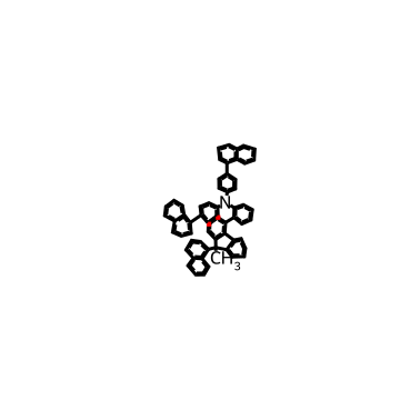 CC1(c2cccc3ccccc23)c2ccccc2-c2c(-c3ccccc3N(c3ccc(-c4cccc5ccccc45)cc3)c3ccc(-c4cccc5ccccc45)cc3)cccc21